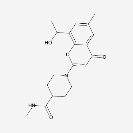 CNC(=O)C1CCN(c2cc(=O)c3cc(C)cc(C(C)O)c3o2)CC1